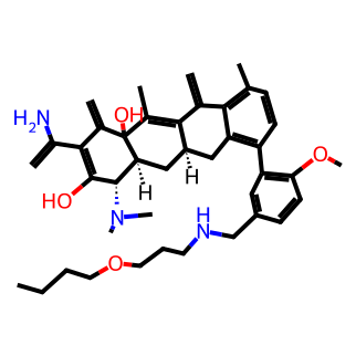 C=C(N)C1=C(O)[C@@H](N(C)C)[C@@H]2C[C@@H]3Cc4c(-c5cc(CNCCCOCCCC)ccc5OC)ccc(C)c4C(=C)C3=C(C)C2(O)C1=C